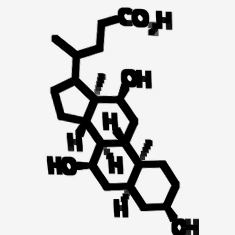 CC(CCC(=O)O)C1CC[C@H]2[C@@H]3[C@H](O)C[C@@H]4C[C@H](O)CC[C@]4(C)[C@H]3C[C@H](O)[C@]12C